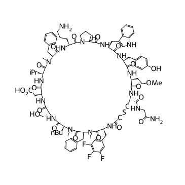 CCCC[C@H]1C(=O)N[C@H](CO)C(=O)N[C@@H](CC(=O)O)C(=O)N[C@@H](C(C)C)C(=O)N(C)C(Cc2ccccc2)C(=O)N[C@@H](CCCN)C(=O)N2CCC[C@@H]2C(=O)N[C@@H](Cc2c[nH]c3ccccc23)C(=O)N[C@@H](Cc2ccc(O)cc2)C(=O)N[C@@H](CCOC)C(=O)N[C@H](C(=O)NCC(N)=O)CSCC(=O)N[C@@H](Cc2cc(F)c(F)c(F)c2)C(=O)N(C)C(Cc2ccccc2)C(=O)N1C